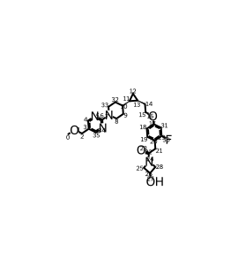 COCc1cnc(N2CCC([C@H]3C[C@H]3CCOc3ccc(CC(=O)N4CC(O)C4)c(F)c3)CC2)nc1